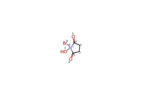 O=C1CCC(=O)[N+]1(O)Br